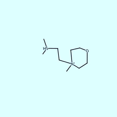 C[SH](C)CC[N+]1(C)CCOCC1